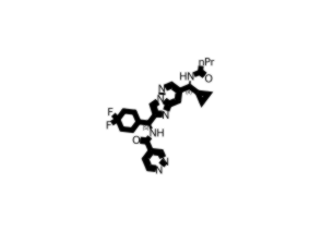 CCCC(=O)N[C@@H](c1cnn2cc([C@@H](NC(=O)c3ccnnc3)C3CCC(F)(F)CC3)nc2c1)C1CC1